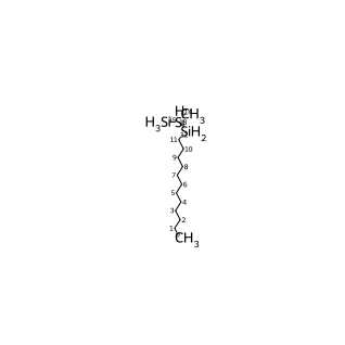 CCCCCCCCCCCC[SiH2][SiH](C)[SiH3]